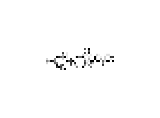 CCOC(=O)C1(F)CCN(c2ncc(F)cn2)CC1=O